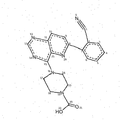 N#Cc1ccccc1-c1ccc2ncnc(N3CCN(C(=O)O)CC3)c2n1